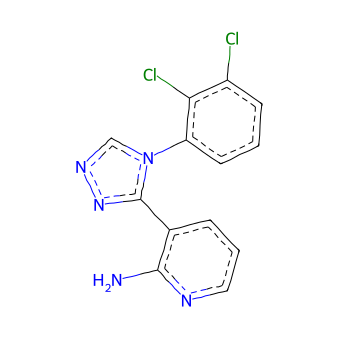 Nc1ncccc1-c1nncn1-c1cccc(Cl)c1Cl